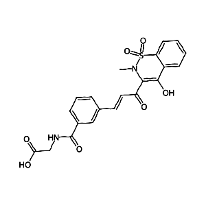 CN1C(C(=O)C=Cc2cccc(C(=O)NCC(=O)O)c2)=C(O)c2ccccc2S1(=O)=O